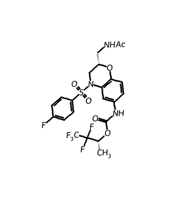 CC(=O)NC[C@H]1CN(S(=O)(=O)c2ccc(F)cc2)c2cc(NC(=O)O[C@H](C)C(F)(F)C(F)(F)F)ccc2O1